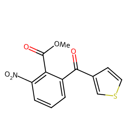 COC(=O)c1c(C(=O)c2ccsc2)cccc1[N+](=O)[O-]